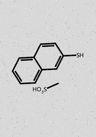 CS(=O)(=O)O.Sc1ccc2ccccc2c1